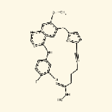 COc1cc2ncnc(Nc3ccc(F)c(Cl)c3)c2cc1Oc1ccc(C#CCCCC(=O)NO)o1